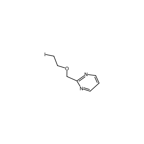 ICCOCc1ncccn1